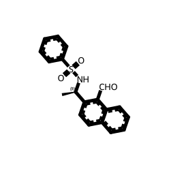 C[C@@H](NS(=O)(=O)c1ccccc1)c1ccc2ccccc2c1C=O